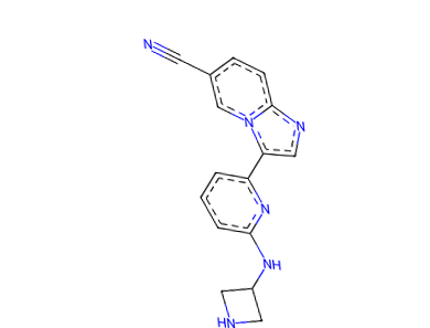 N#Cc1ccc2ncc(-c3cccc(NC4CNC4)n3)n2c1